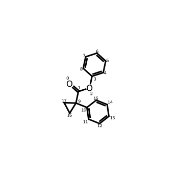 O=C(Oc1ccccc1)C1(c2ccccc2)CC1